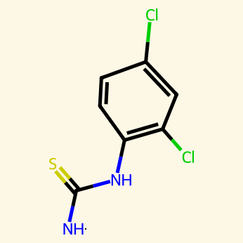 [NH]C(=S)Nc1ccc(Cl)cc1Cl